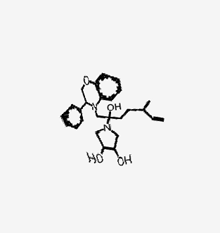 C=CC(C)CCC(O)(CN1c2ccccc2OCC1c1ccccc1)N1CC(O)C(O)C1